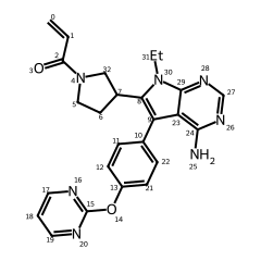 C=CC(=O)N1CCC(c2c(-c3ccc(Oc4ncccn4)cc3)c3c(N)ncnc3n2CC)C1